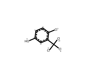 Oc1ccc(Cl)c(C(Cl)(Cl)Cl)c1